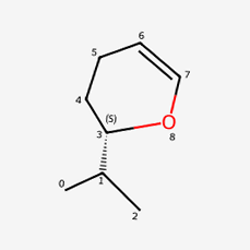 CC(C)[C@@H]1CCC=CO1